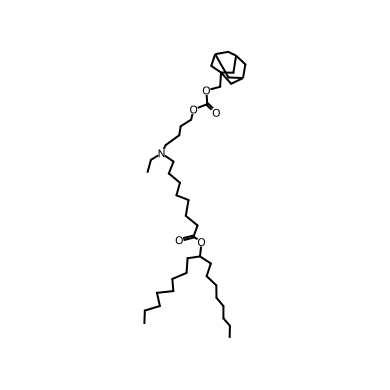 CCCCCCCCC(CCCCCCCC)OC(=O)CCCCCCCN(CC)CCCCOC(=O)OCC12CC3CC(CC(C3)C1)C2